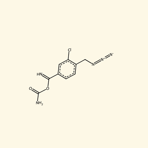 [N-]=[N+]=NCc1ccc(C(=N)OC(N)=O)cc1Cl